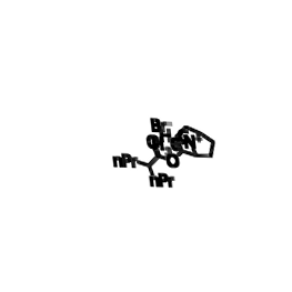 CCCC(CCC)C(=O)OC1CCC2CCC1[N+]2(C)C.[Br-]